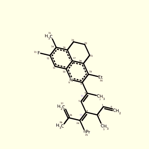 C=CC(C)C(/C=C(\C)c1nc2cc(F)c(C)c3c2c(c1CC)CCC3)=C(\CCC)C(=C)C